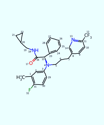 Cc1cc(N(CCCc2ccc(C(F)(F)F)nc2)[C@@H](C(=O)NCC2CC2)c2ccccc2)ccc1F